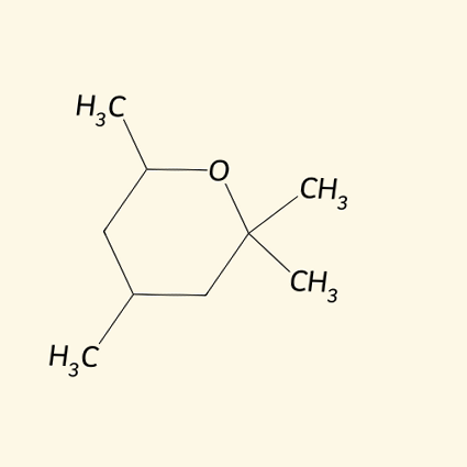 CC1CC(C)OC(C)(C)C1